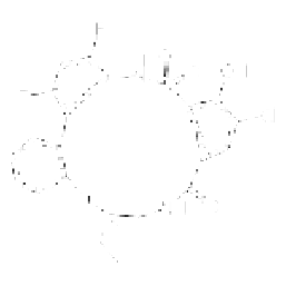 CC[C@H]1CNC(=O)c2cc(Cl)c(O)c(c2)S(=O)(=O)Nc2cc(c(F)cc2F)-c2ccccc2O1